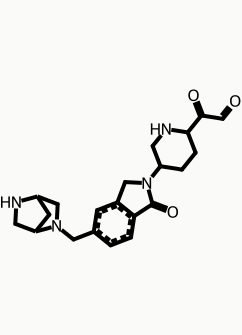 O=CC(=O)C1CCC(N2Cc3cc(CN4CC5CC4CN5)ccc3C2=O)CN1